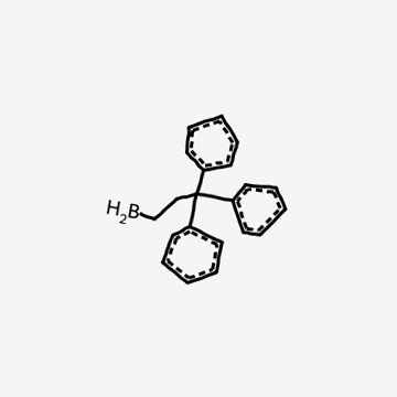 BCCC(c1ccccc1)(c1ccccc1)c1ccccc1